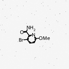 COc1ccc(Br)c(C(N)=O)n1